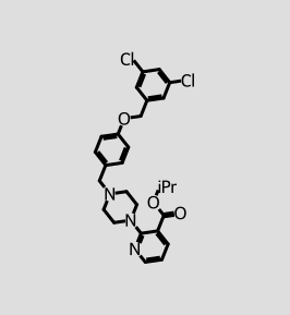 CC(C)OC(=O)c1cccnc1N1CCN(Cc2ccc(OCc3cc(Cl)cc(Cl)c3)cc2)CC1